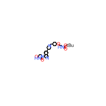 CC(C)(C)OC(=O)NCCOC1CCC(CN2CCC(c3ccc4c(N5CCC(=O)NC5=O)cncc4c3)CC2)CC1